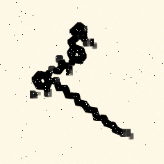 CCCCCCCCCCCCCCOc1c(Cl)cccc1OCC(=O)Nc1cccc(C[n+]2ccsc2C)c1.[Br-]